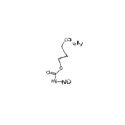 O=NNC(=O)OCCCC(=O)O